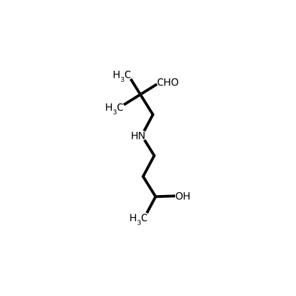 CC(O)CCNCC(C)(C)C=O